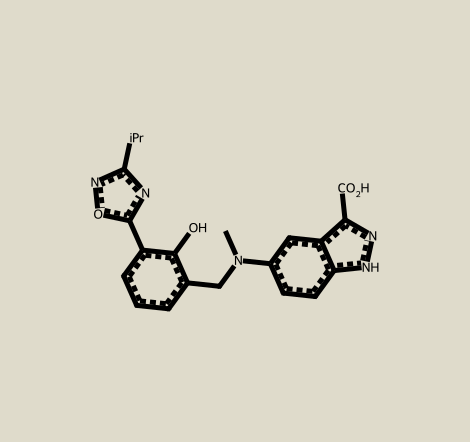 CC(C)c1noc(-c2cccc(CN(C)c3ccc4[nH]nc(C(=O)O)c4c3)c2O)n1